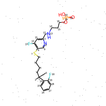 CC(C)(CCCCSc1cnc(CNCCCO[PH](=O)O)cc1F)c1ccccc1F